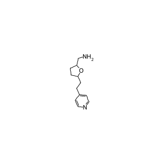 NCC1CCC(CCc2ccncc2)O1